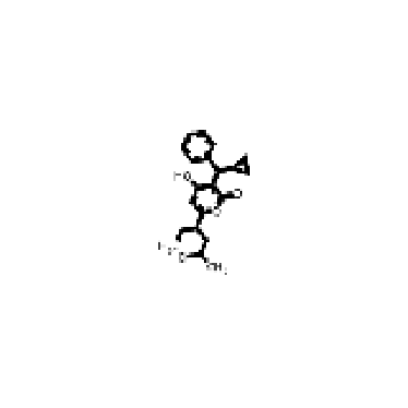 CCC(CC(C)Cl)c1cc(O)c(C(c2ccccc2)C2CC2)c(=O)o1